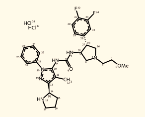 COCCN1C[C@@H](NC(=O)Nc2c(C)c([C@H]3CCCN3)nn2-c2ccccc2)[C@H](c2ccc(F)c(F)c2)C1.Cl.Cl